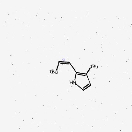 CC(C)(C)/C=C\c1[nH]ccc1C(C)(C)C